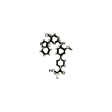 COc1cc(N2CCN(C(=O)[C@H](C)O)CC2)ccc1Nc1ncc(Cl)c(-c2cnn3ccccc23)n1